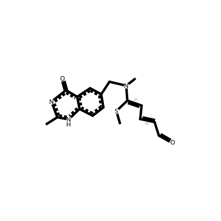 CS/C(=C\C=C\C=O)N(C)Cc1ccc2[nH]c(C)nc(=O)c2c1